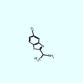 CC(N)c1nc2cc(Cl)ccc2s1